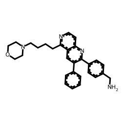 NCc1ccc(-c2nc3ccnc(CCCCN4CCOCC4)c3cc2-c2ccccc2)cc1